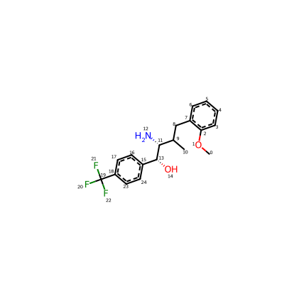 COc1ccccc1CC(C)[C@@H](N)[C@H](O)c1ccc(C(F)(F)F)cc1